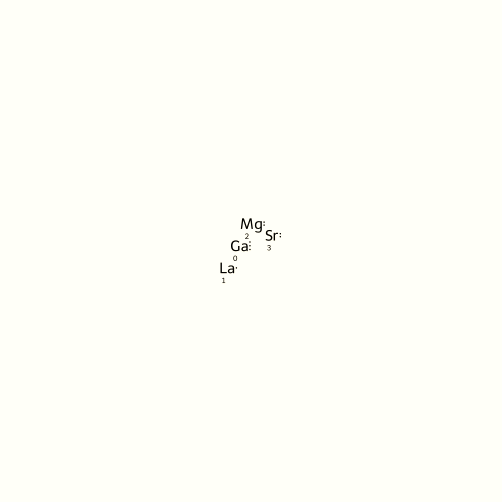 [Ga].[La].[Mg].[Sr]